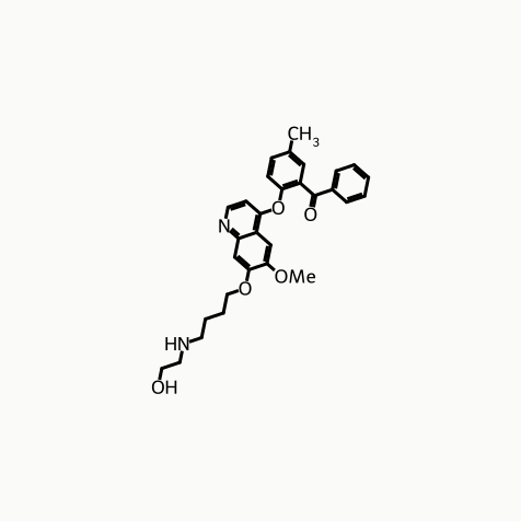 COc1cc2c(Oc3ccc(C)cc3C(=O)c3ccccc3)ccnc2cc1OCCCCNCCO